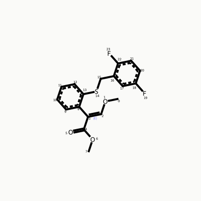 CO/C=C(/C(=O)OC)c1ccccc1SCc1cc(F)ccc1F